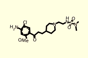 COc1cc(N)c(Cl)cc1C(=O)CCC1CCN(CCNS(=O)(=O)N(C)C)CC1